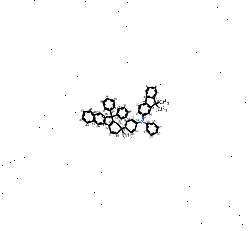 CC1(C)c2ccccc2-c2ccc(N(C3=CCC(C4(C)C=CC5=C(C4)C(c4ccccc4)(c4ccccc4)c4cc6ccccc6cc45)C=C3)c3ccccc3)cc21